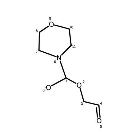 [O]C(OCC=O)N1CCOCC1